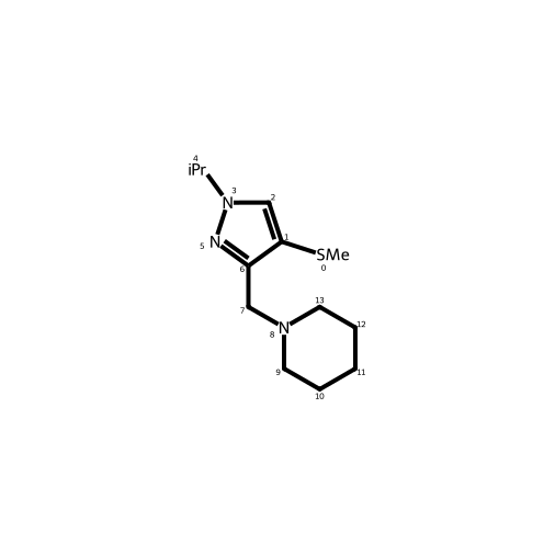 CSc1cn(C(C)C)nc1CN1CCCCC1